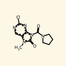 Cn1c(=O)n(C(=O)N2CCCC2)c2nc(Cl)ncc21